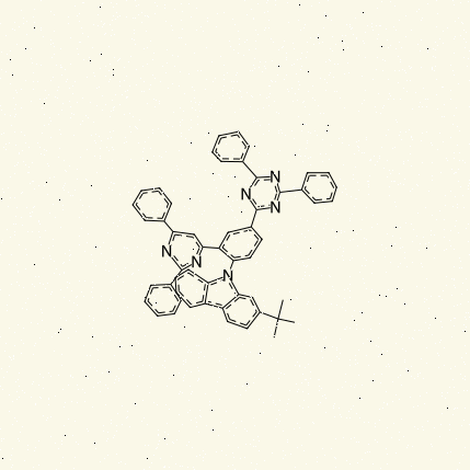 CC(C)(C)c1ccc2c3ccccc3n(-c3ccc(-c4nc(-c5ccccc5)nc(-c5ccccc5)n4)cc3-c3cc(-c4ccccc4)nc(-c4ccccc4)n3)c2c1